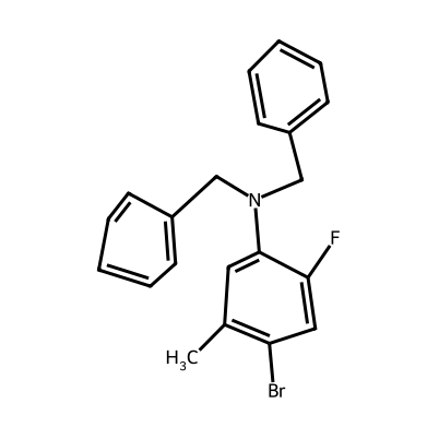 Cc1cc(N(Cc2ccccc2)Cc2ccccc2)c(F)cc1Br